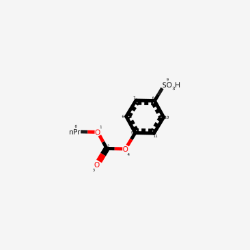 CCCOC(=O)Oc1ccc(S(=O)(=O)O)cc1